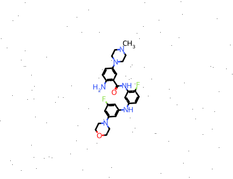 CN1CCN(c2ccc(N)c(C(=O)Nc3cc(Nc4cc(F)cc(N5CCOCC5)c4)ccc3F)c2)CC1